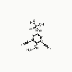 N#Cc1cccc(C#N)c1NN.O=P(O)(O)O